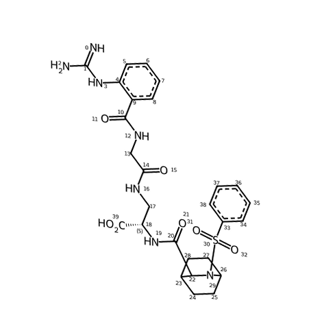 N=C(N)Nc1ccccc1C(=O)NCC(=O)NC[C@H](NC(=O)C1C2CCC(CC2)N1S(=O)(=O)c1ccccc1)C(=O)O